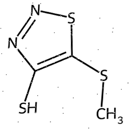 CSc1snnc1S